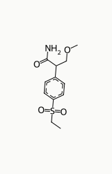 CCS(=O)(=O)c1ccc(C(COC)C(N)=O)cc1